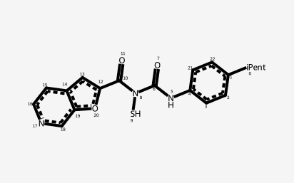 CCCC(C)c1ccc(NC(=O)N(S)C(=O)c2cc3ccncc3o2)cc1